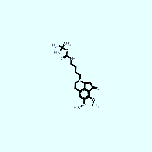 COc1cc2c3c(c1OC)C(=O)CC3N(CCCCNC(=O)OC(C)(C)C)CC2